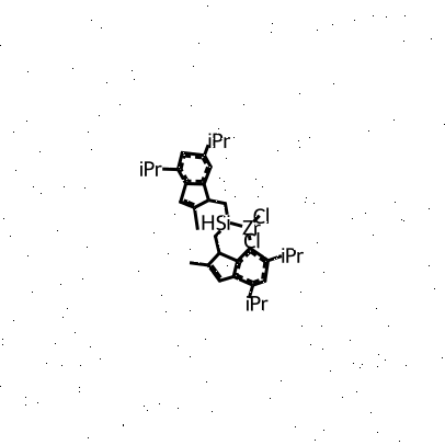 CC1=Cc2c(C(C)C)cc(C(C)C)cc2C1C[SiH](CC1C(C)=Cc2c(C(C)C)cc(C(C)C)cc21)[Zr]([Cl])[Cl]